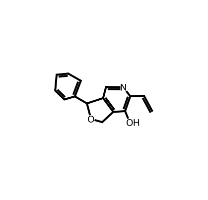 C=Cc1ncc2c(c1O)COC2c1ccccc1